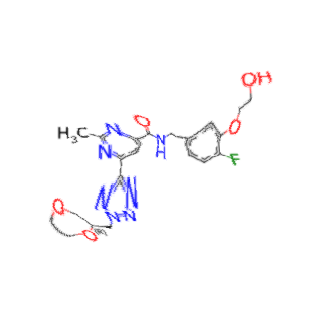 Cc1nc(C(=O)NCc2ccc(F)c(OCCO)c2)cc(-c2nnn(C[C@@H]3COCCO3)n2)n1